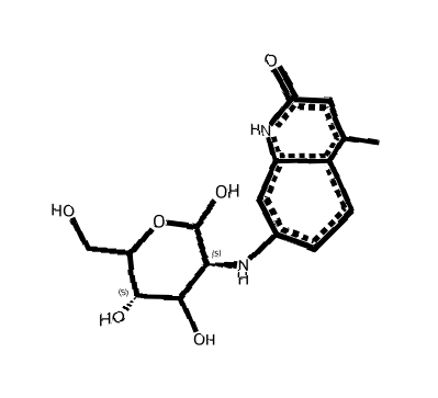 Cc1cc(=O)[nH]c2cc(N[C@@H]3C(O)OC(CO)[C@@H](O)C3O)ccc12